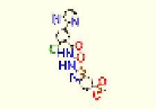 CN(C)c1cccnc1-c1ccc(Cl)c(C(=O)NC(=O)Nc2nc3ccc(S(C)(=O)=O)cc3s2)c1